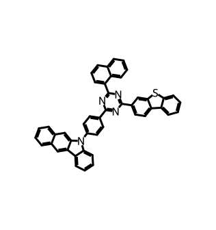 c1ccc2cc3c(cc2c1)c1ccccc1n3-c1ccc(-c2nc(-c3ccc4c(c3)sc3ccccc34)nc(-c3cccc4ccccc34)n2)cc1